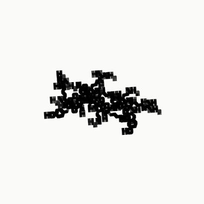 C[C@@H](O)[C@H](NC(=O)[C@H](CCN)NC(=O)[C@H](CCCNC(=N)N)NC(=O)[C@H](CC(N)=O)NC(=O)[C@@H](NC(=O)[C@H](Cc1ccc(O)cc1)NC(=O)[C@@H](N)CCCNC(=N)N)C(C)(C)S)C(=O)N[C@H](CCN)C(=O)N[C@@H](CCCCN)C(=O)N[C@@H](CS)C(=O)N[C@@H](CCN)C(=O)N[C@@H](CCCNC(=N)N)C(=O)N[C@@H](Cc1ccc(O)cc1)C(=O)O